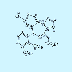 CCOC(=O)C[C@H]1S[C@H](c2cccc(OC)c2OC)c2cc(Cl)ccc2-n2ccnc21